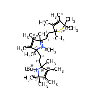 CC1=C(C)C(C)(CCC2(C)C(C)=C(C)C(C)(CCC3(C)C(C)=C(C)C(C)(C)N3C(C)(C)C)N2C)SC1(C)C